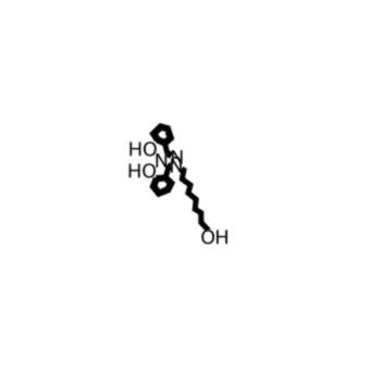 OCCCCCCCCCn1nc(-c2ccccc2O)nc1-c1ccccc1O